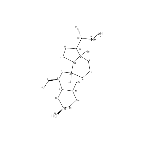 CC[C@@H](CC1(C)CCCC2(C)C([C@H](C)NS)CCC12)C1C[C@H](O)CCC1C